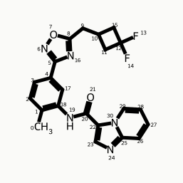 Cc1ccc(-c2noc(CC3CC(F)(F)C3)n2)cc1NC(=O)c1cnc2ccccn12